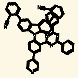 N#Cc1ccccc1-c1ccc2c(c1)c1cc(-c3ccccc3C#N)ccc1n2-c1ccc(-c2ccncc2)cc1-c1nc(-c2ccccc2)nc(-c2ccccc2)n1